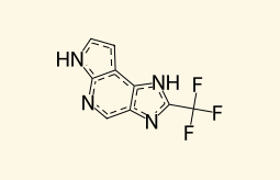 FC(F)(F)c1nc2cnc3[nH]ccc3c2[nH]1